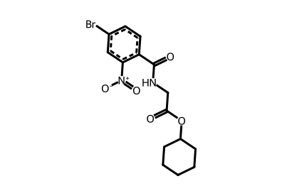 O=C(CNC(=O)c1ccc(Br)cc1[N+](=O)[O-])OC1CCCCC1